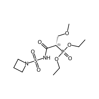 CCOP(=O)(OCC)[C@@H](COC)C(=O)NS(=O)(=O)N1CCC1